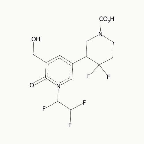 O=C(O)N1CCC(F)(F)C(c2cc(CO)c(=O)n(C(F)C(F)F)c2)C1